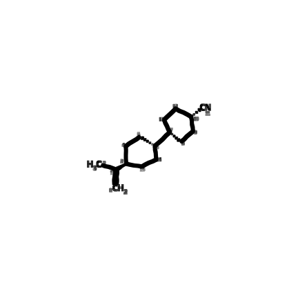 C=C(C)[C@H]1CC[C@H]([C@H]2CC[C@@H](C#N)CC2)CC1